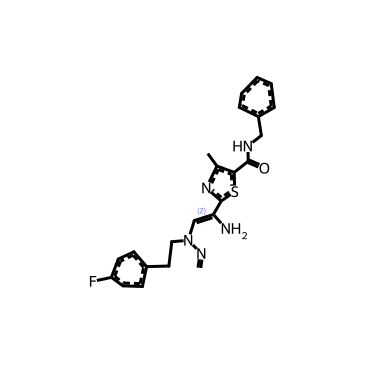 C=NN(/C=C(\N)c1nc(C)c(C(=O)NCc2ccccc2)s1)CCc1ccc(F)cc1